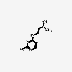 CN(C)CCNc1ccnc(Cl)n1